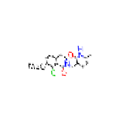 COc1ccc2c(c1Cl)C(=O)N(Cc1c(C)cc(C)[nH]c1=O)CC2C